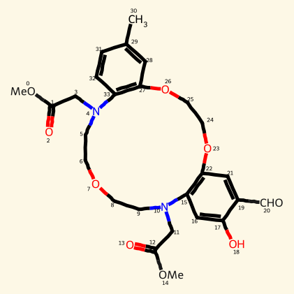 COC(=O)CN1CCOCCN(CC(=O)OC)c2cc(O)c(C=O)cc2OCCOc2cc(C)ccc21